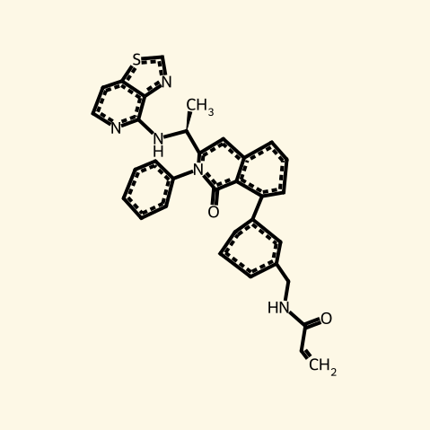 C=CC(=O)NCc1cccc(-c2cccc3cc([C@H](C)Nc4nccc5scnc45)n(-c4ccccc4)c(=O)c23)c1